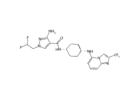 Nc1nn(CC(F)F)cc1C(=O)N[C@H]1CC[C@@H](Nc2cccc3nc(C(F)(F)F)cn23)CC1